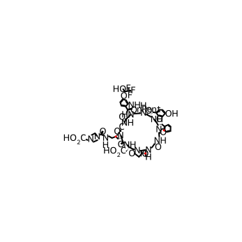 CCCCC[C@@H]1NC(=O)[C@H](Cc2ccc(O)cc2)NC(=O)[C@H](Cc2ccccc2)N(C)C(=O)CNC(=O)CNC(=O)[C@H]2CCCN2C(=O)[C@H](CC(=O)O)NC(=O)[C@H](CCCCNC(=O)N2CCN(CC(=O)O)CC2)N(C)C(=O)CNC(=O)[C@H](Cc2c[nH]c3ccccc23)NC1=O.O=C(O)C(F)(F)F